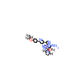 [2H]C([2H])([2H])Oc1ccc(-c2ccc(-c3cnn4c(N)c(C(C)=O)c([C@H]5C[C@H]6CC[C@@H](C5)N6C(=O)c5nnc[nH]5)nc34)cn2)cc1